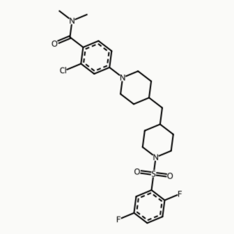 CN(C)C(=O)c1ccc(N2CCC(CC3CCN(S(=O)(=O)c4cc(F)ccc4F)CC3)CC2)cc1Cl